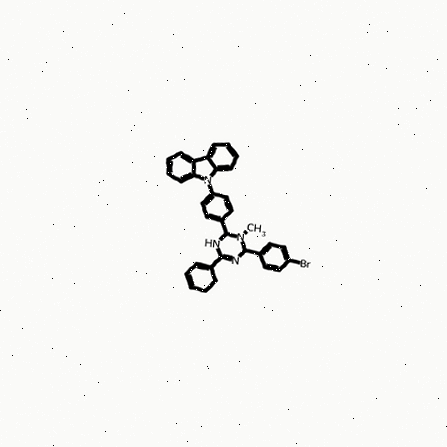 CN1C(c2ccc(Br)cc2)N=C(C2=CC=CCC2)NC1c1ccc(-n2c3ccccc3c3ccccc32)cc1